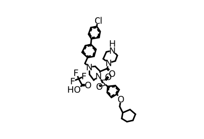 O=C(C1CN(Cc2ccc(-c3ccc(Cl)cc3)cc2)CCN1S(=O)(=O)c1ccc(OCC2CCCCC2)cc1)N1CCNCC1.O=C(O)C(F)(F)F